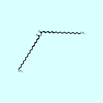 CCCCCCCCCCCCCC=CC=CC=CC(=O)OC(=O)C=CC=CC=CCCCCCCCCCCCCC